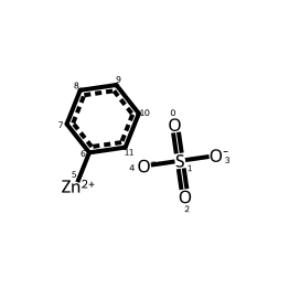 O=S(=O)([O-])[O-].[Zn+2][c]1ccccc1